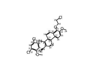 COc1cc(Nc2c(C#N)cnc3c2ccc2c(OCCCl)c(OC)ccc23)c(Cl)cc1Cl